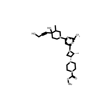 CC1CN(c2cc(N3C[C@@H](N4CCN(C(=O)OC(C)(C)C)CC4)[C@H]3C)nc(C(F)(F)F)n2)CCC1(O)C#CCO